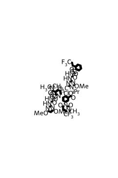 CC(C)OC(=O)c1cc(-n2c(=O)cc(C(F)(F)F)n(C)c2=O)ccc1Cl.COc1cc(OC)nc(NC(=O)NS(=O)(=O)c2ncccc2C(=O)N(C)C)n1.COc1nc(C)nc(NC(=O)NS(=O)(=O)c2ccccc2CCC(F)(F)F)n1